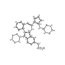 O=C(O)Oc1ccc2c(C3CCCCC3)c3n(c2c1)CC(c1nnnn1CC1CCOCC1)=Cc1ccccc1-3